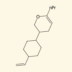 C=CC1CCC(C2CC=C(CCC)OC2)CC1